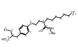 CCOC(Cc1ccc(OCCN(CCCCCCC(F)(F)F)C(=O)NC(C)CC)cc1)C(=O)O